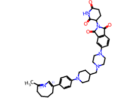 C/C1=N\C=C(\c2ccc(N3CCC(CN4CCN(c5ccc6c(c5)C(=O)N(C5CCC(=O)NC5=O)C6=O)CC4)CC3)cc2)CCCC1